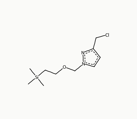 C[Si](C)(C)CCOCn1ccc(CCl)n1